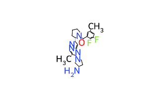 Cc1cc(F)c(F)c(C(=O)N2CCCC[C@H]2c2cc3nc(N4CC[C@H](N)C4)c(C)cn3n2)c1